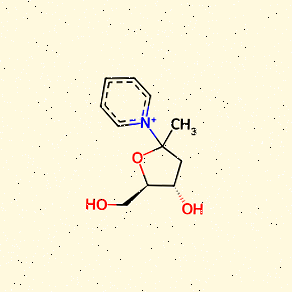 CC1([n+]2ccccc2)C[C@H](O)[C@@H](CO)O1